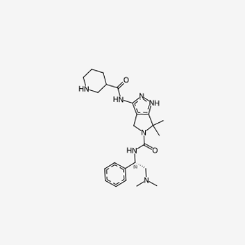 CN(C)C[C@@H](NC(=O)N1Cc2c(NC(=O)C3CCCNC3)n[nH]c2C1(C)C)c1ccccc1